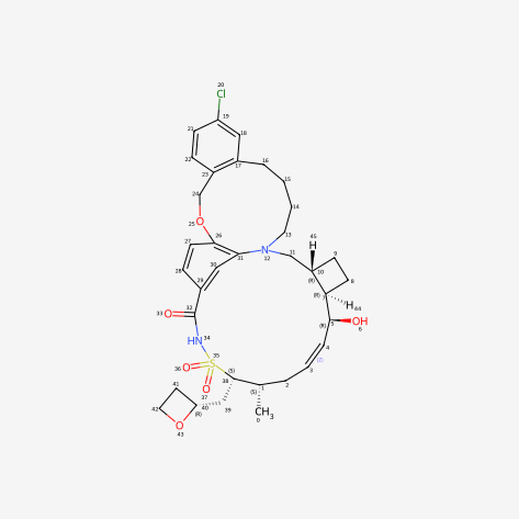 C[C@H]1C/C=C\[C@H](O)[C@@H]2CC[C@H]2CN2CCCCc3cc(Cl)ccc3COc3ccc(cc32)C(=O)NS(=O)(=O)[C@H]1C[C@H]1CCO1